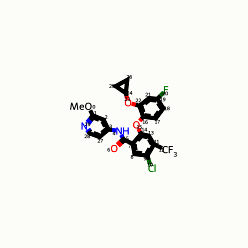 COc1cc(NC(=O)c2cc(Cl)c(C(F)(F)F)cc2Oc2ccc(F)cc2OC2CC2)ccn1